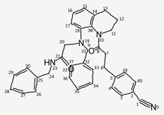 N#Cc1ccc(CCC(=O)N2CCCc3cccc(N(CC(=O)NCc4ccccc4)Cc4ccccc4)c32)cc1